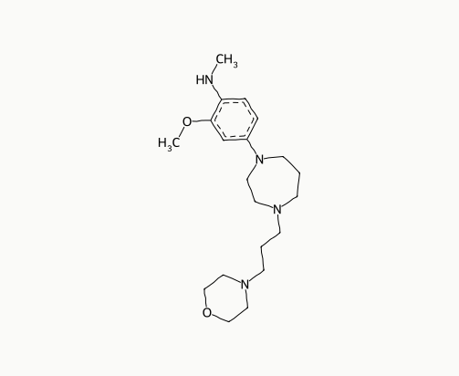 CNc1ccc(N2CCCN(CCCN3CCOCC3)CC2)cc1OC